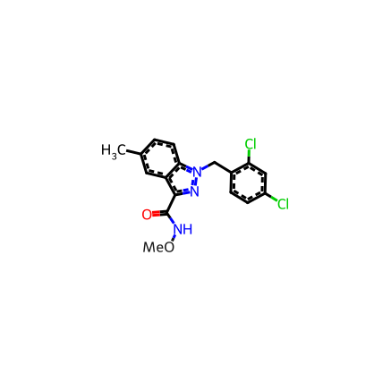 CONC(=O)c1nn(Cc2ccc(Cl)cc2Cl)c2ccc(C)cc12